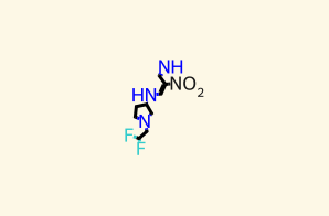 N=C/C(=C\N[C@H]1CCN(CC(F)F)C1)[N+](=O)[O-]